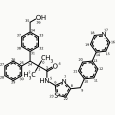 CC(C)(C(=O)Nc1nc(Cc2ccc(-c3ccncc3)cc2)cs1)C(c1ccccc1)c1ccc(CO)cc1